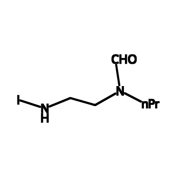 CCCN(C=O)CCNI